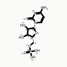 Nc1ccn([C@@H]2O[C@H](COP(=O)(O)O)C(O)C2O)c(=S)n1